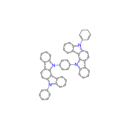 C1=CC(n2c3ccccc3c3c2ccc2c4ccccc4n(-c4ccc(-n5c6ccccc6c6ccc7c(c8ccccc8n7-c7ccccc7)c65)cc4)c23)=CCC1